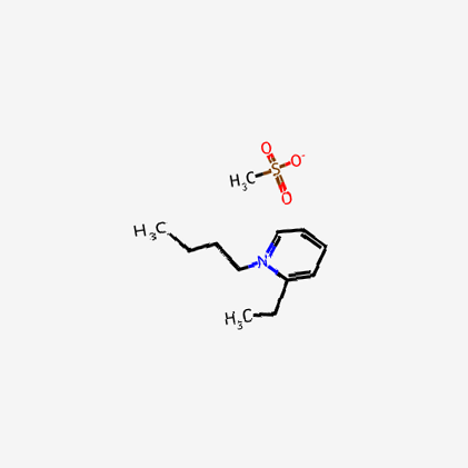 CCCC[n+]1ccccc1CC.CS(=O)(=O)[O-]